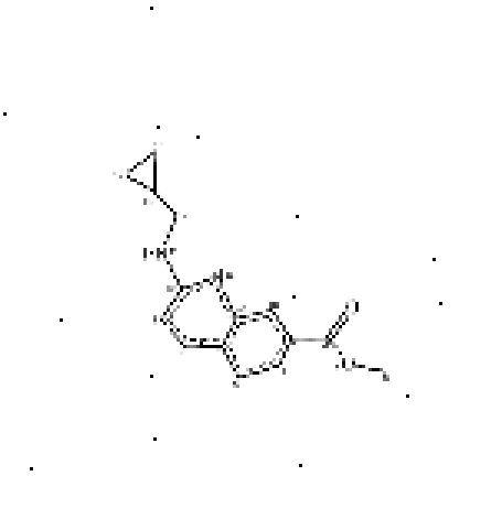 COC(=O)c1ccc2ccc(NCC3CC3)nc2c1